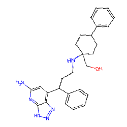 Nc1cc(C(CCNC2(CO)CCC(c3ccccc3)CC2)c2ccccc2)c2nn[nH]c2n1